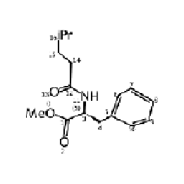 COC(=O)[C@H](Cc1ccccc1)NC(=O)CCC(C)C